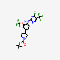 CC(C)(C)OC(=O)N1CCC(c2ccc(Nc3ncc(C(F)(F)F)c(Cl)n3)c(OC(F)(F)F)c2)CC1